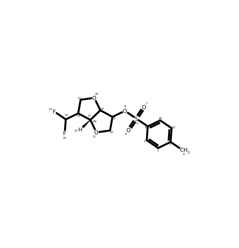 Cc1ccc(S(=O)(=O)OC2CO[C@@H]3C(C(F)F)COC23)cc1